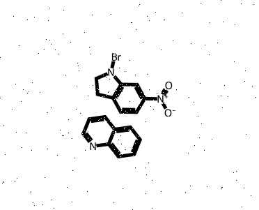 O=[N+]([O-])c1ccc2c(c1)N(Br)CC2.c1ccc2ncccc2c1